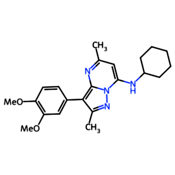 COc1ccc(-c2c(C)nn3c(NC4CCCCC4)cc(C)nc23)cc1OC